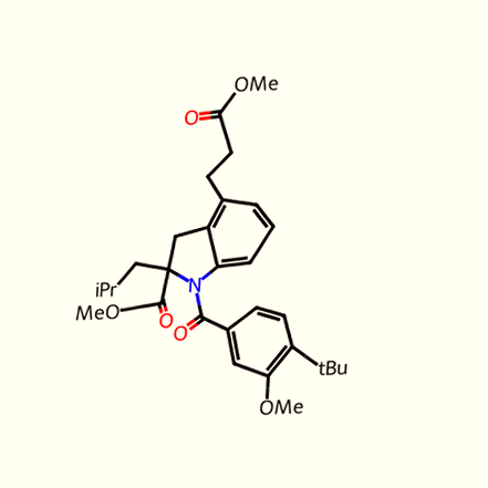 COC(=O)CCc1cccc2c1CC(CC(C)C)(C(=O)OC)N2C(=O)c1ccc(C(C)(C)C)c(OC)c1